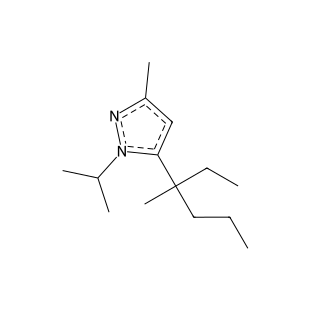 CCCC(C)(CC)c1cc(C)nn1C(C)C